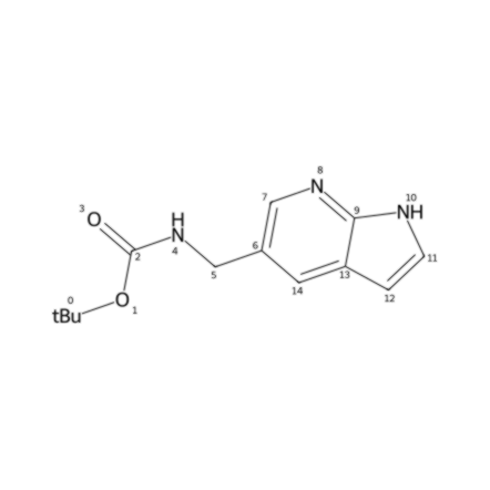 CC(C)(C)OC(=O)NCc1cnc2[nH]ccc2c1